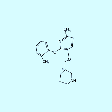 Cc1ccc(OC[C@H]2CCCNC2)c(Oc2ccccc2C)n1